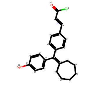 O=C(Cl)/C=C/c1ccc(C(=C2CCCCCC2)c2ccc(O)cc2)cc1